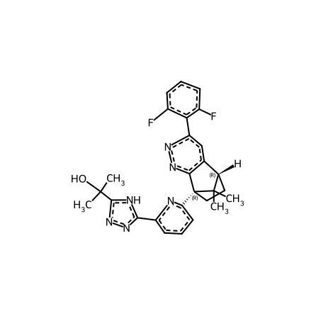 CC(C)(O)c1nnc(-c2cccc([C@]34CC[C@@H](c5cc(-c6c(F)cccc6F)nnc53)C4(C)C)n2)[nH]1